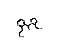 COCCc1nccnc1C(=O)N1CCCC1CO